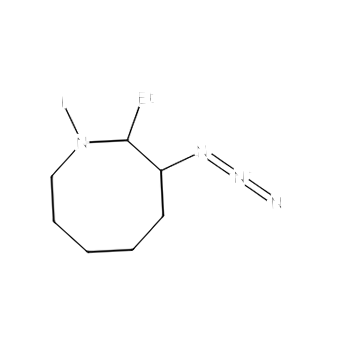 CCC1C(N=[N+]=[N-])CCCCCN1I